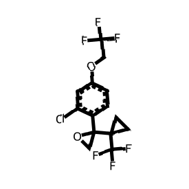 FC(F)(F)COc1ccc(C2(C3(C(F)(F)F)CC3)CO2)c(Cl)c1